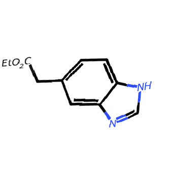 CCOC(=O)Cc1ccc2[nH]cnc2c1